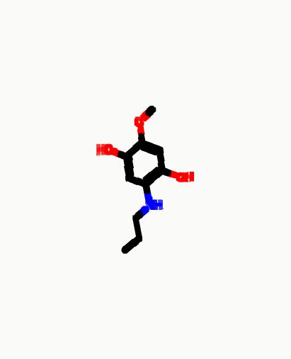 CCCNc1cc(O)c(OC)cc1O